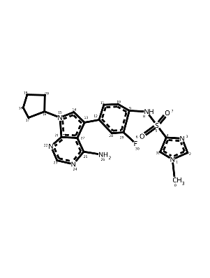 Cn1cnc(S(=O)(=O)Nc2ccc(-c3cn(C4CCCC4)c4ncnc(N)c34)cc2F)c1